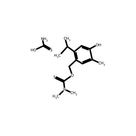 Cc1cc(COC(=S)N(C)C)c(C(C)C)cc1O.NC(O)=S